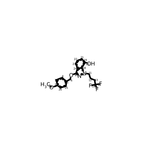 COc1ccc(COc2nn(CCCC(F)(F)F)c3c(O)cccc23)cc1